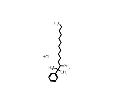 CCCCCCCCCCCC(P)C(C)(C)c1ccccc1.Cl